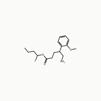 CCCC(F)OC(=O)CCC(CN)c1ccccc1OC